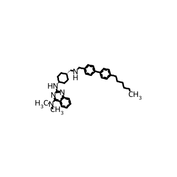 CCCCCCc1ccc(-c2ccc(CNC[C@H]3CC[C@@H](Nc4nc(N(C)C)c5ccccc5n4)CC3)cc2)cc1